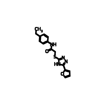 CCc1ccc(NC(=O)CSc2nnc(-c3ccco3)[nH]2)cc1